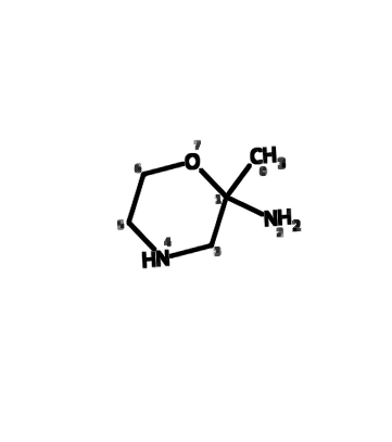 CC1(N)CNCCO1